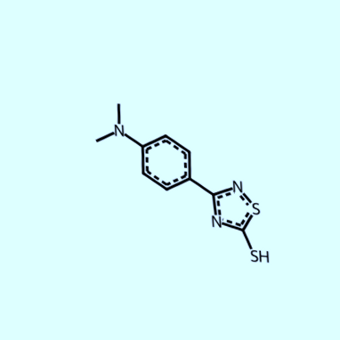 CN(C)c1ccc(-c2nsc(S)n2)cc1